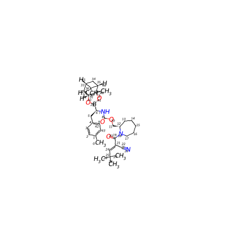 Cc1ccc(C[C@H](NC(=O)OC[C@H]2CCCCCN2C(=O)C(C#N)=CC(C)(C)C)B2O[C@@H]3C[C@@H]4C[C@@H](C4(C)C)[C@]3(C)O2)cc1